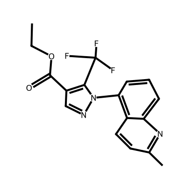 CCOC(=O)c1cnn(-c2cccc3nc(C)ccc23)c1C(F)(F)F